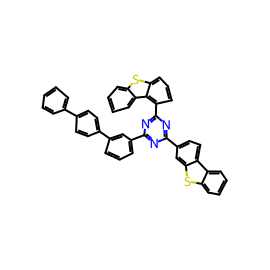 c1ccc(-c2ccc(-c3cccc(-c4nc(-c5ccc6c(c5)sc5ccccc56)nc(-c5cccc6sc7ccccc7c56)n4)c3)cc2)cc1